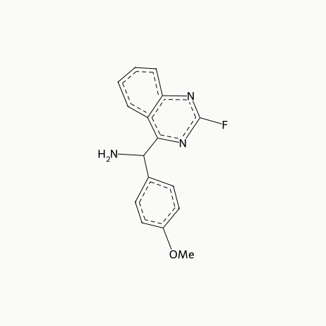 COc1ccc(C(N)c2nc(F)nc3ccccc23)cc1